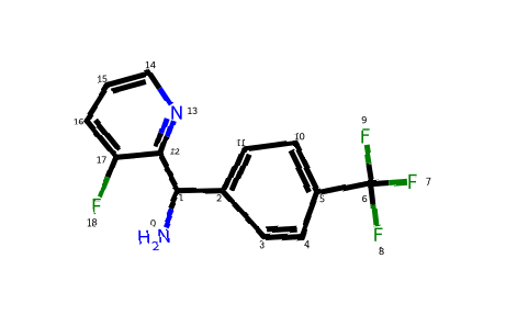 NC(c1ccc(C(F)(F)F)cc1)c1ncccc1F